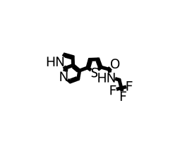 O=C(NCC(F)(F)F)c1ccc(-c2ccnc3[nH]ccc23)s1